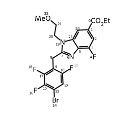 CCOC(=O)c1cc(F)c2nc(Cc3c(F)cc(Br)c(F)c3F)n(CCOC)c2c1